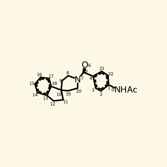 CC(=O)Nc1ccc(C(=O)N2CCC3(CCc4ccccc43)CC2)cc1